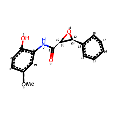 COc1ccc(O)c(NC(=O)[C@@H]2O[C@H]2c2ccccc2)c1